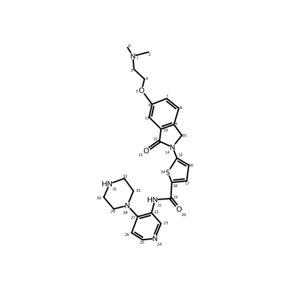 CN(C)CCOc1ccc2c(c1)C(=O)N(c1ccc(C(=O)Nc3cnccc3N3CCNCC3)s1)C2